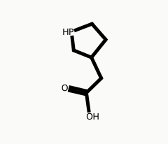 O=C(O)CC1CCPC1